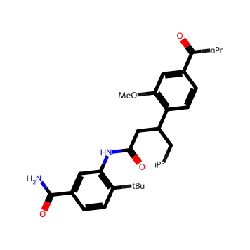 CCCC(=O)c1ccc(C(CC(=O)Nc2cc(C(N)=O)ccc2C(C)(C)C)CC(C)C)c(OC)c1